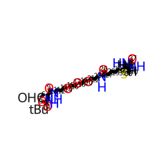 CC(C)(C)OC(=O)N[C@H](CC=O)C(=O)NCCCOCCOCCOCCCNC(=O)CCCC[C@@H]1SC[C@@H]2NC(=O)N[C@@H]21